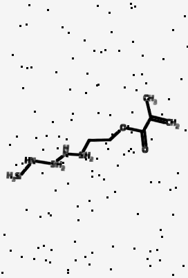 C=C(C)C(=O)OCC[SiH2]N[SiH2]N[SiH3]